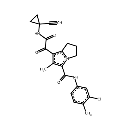 C#CC1(NC(=O)C(=O)c2c(C)c(C(=O)Nc3ccc(C)c(Cl)c3)n3c2CCC3)CC1